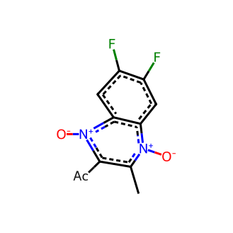 CC(=O)c1c(C)[n+]([O-])c2cc(F)c(F)cc2[n+]1[O-]